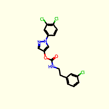 O=C(NCCc1cccc(Cl)c1)Oc1cnn(-c2ccc(Cl)c(Cl)c2)c1